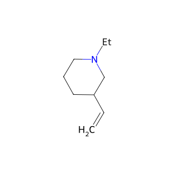 C=CC1CCCN(CC)C1